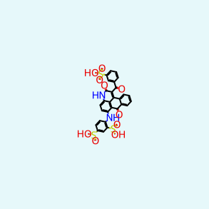 O=C(c1cccc(S(=O)(=O)O)c1)c1c2c3c(c(Nc4ccc(S(=O)O)cc4S(=O)O)ccc3[nH]c1=O)C(=O)c1ccccc1-2